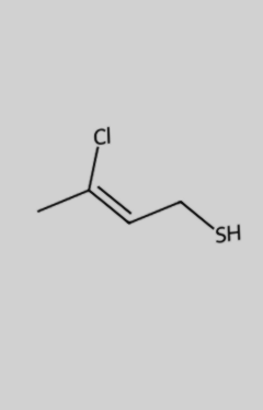 CC(Cl)=CCS